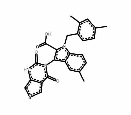 Cc1ccc(Cn2c(C(=O)O)c(-n3c(=O)[nH]c4cscc4c3=O)c3cc(C)ccc32)c(C)c1